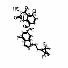 O=c1[nH]c2c(S(=O)(=O)c3cc(F)c4ccn(CCC5C(F)(F)C5(F)F)c4c3)ccc(Cl)c2c(=O)n1O